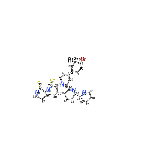 Brc1ccc(-c2ccnc(-c3cccc(-c4ccccn4)n3)c2)cc1.[Pt+2].[S-]c1ccccn1.[S-]c1ccccn1